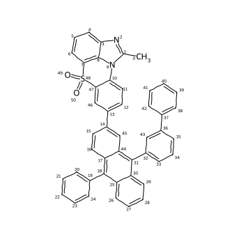 Cc1nc2cccc3c2n1-c1ccc(-c2ccc4c(-c5ccccc5)c5ccccc5c(-c5cccc(-c6ccccc6)c5)c4c2)cc1S3(=O)=O